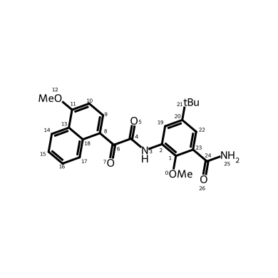 COc1c(NC(=O)C(=O)c2ccc(OC)c3ccccc23)cc(C(C)(C)C)cc1C(N)=O